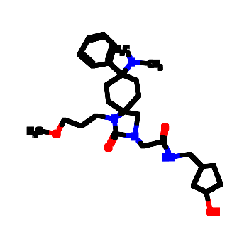 COCCCN1C(=O)N(CC(=O)NCC2CCC(O)C2)CC12CCC(c1ccccc1)(N(C)C)CC2